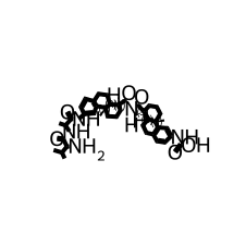 CC(NC(=O)C(N)C(C)C)C(=O)Nc1ccc2c(c1)[C@@]1(C)CCC[C@](C)(C(=O)NC(=O)[C@@]3(C)CCC[C@]4(C)c5cc(NC(=O)O)ccc5CC[C@@H]34)[C@@H]1CC2